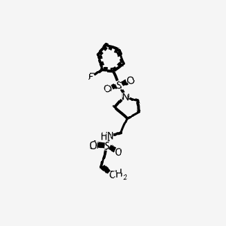 C=CS(=O)(=O)NCC1CCN(S(=O)(=O)c2ccccc2F)C1